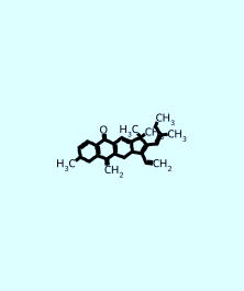 C=CC1=C(/C=C(/C)CC)C(C)(C)C2=CC3=C(CC21)C(=C)C1=C(C=CC(C)C1)C3=O